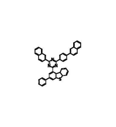 C1=CC2Sc3cc(-c4ccccc4)cc(-c4nc(-c5ccc(-c6ccc7ccccc7c6)cc5)nc(-c5ccc6ccccc6c5)n4)c3C2C=C1